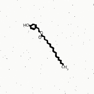 CCCCCCCCCCCCCCCCC(=O)OCCc1ccc(O)cc1